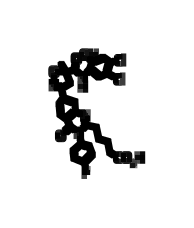 CC1(C(=O)Nc2cc(Cl)c(Cl)cc2O)CC(c2ccc3c(=O)n(-c4ccc(F)cc4)c(CCCCC(=O)O)nc3c2)=NO1